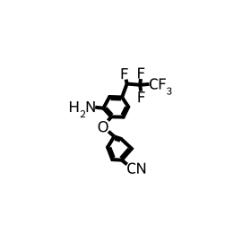 N#Cc1ccc(Oc2ccc(C(F)C(F)(F)C(F)(F)F)cc2N)cc1